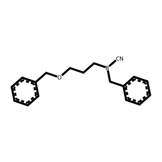 N#CB(CCCOCc1ccccc1)Cc1ccccc1